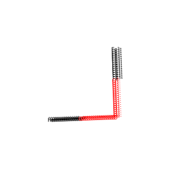 [Fe+3].[Fe+3].[Fe+3].[Fe+3].[Fe+3].[Fe+3].[Fe+3].[Fe+3].[Fe+3].[Fe+3].[Fe+3].[Fe+3].[Fe+3].[Fe+3].[Fe+3].[Fe+3].[Fe+3].[Fe+3].[Fe+3].[Fe+3].[Fe+3].[Fe+3].[Fe+3].[Fe+3].[Fe+3].[Fe+3].[Fe+3].[Fe+3].[Fe+3].[Fe+3].[Fe+3].[Fe+3].[O-2].[O-2].[O-2].[O-2].[O-2].[O-2].[O-2].[O-2].[O-2].[O-2].[O-2].[O-2].[O-2].[O-2].[O-2].[O-2].[O-2].[O-2].[O-2].[O-2].[O-2].[O-2].[O-2].[O-2].[O-2].[O-2].[O-2].[O-2].[O-2].[O-2].[O-2].[O-2].[O-2].[O-2].[O-2].[O-2].[O-2].[O-2]